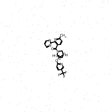 Cc1ccc(C(=O)N2C[C@H]3C[C@@H](Oc4ccc(C(F)(F)F)cn4)[C@@H]2C3)c(-c2ncccn2)n1